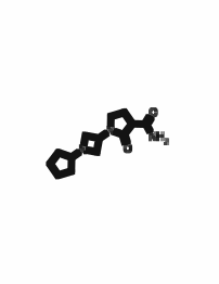 NC(=O)C1CCN(C2CN(C3CCCC3)C2)C1=O